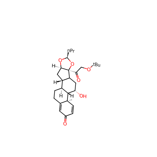 CCC[C@@H]1O[C@@H]2C[C@@H]3C(C[C@H](O)[C@H]4[C@H]3CCC3=CC(=O)C=C[C@@]34C)[C@]2(C(=O)COC(C)(C)C)O1